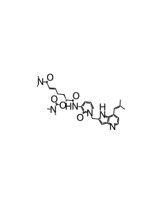 CC(C)=Cc1ccnc2cc(Cn3cccc(NC(=O)[C@H](CC/C=C/C(=O)N(C)C)OC(=O)N(C)C)c3=O)[nH]c12